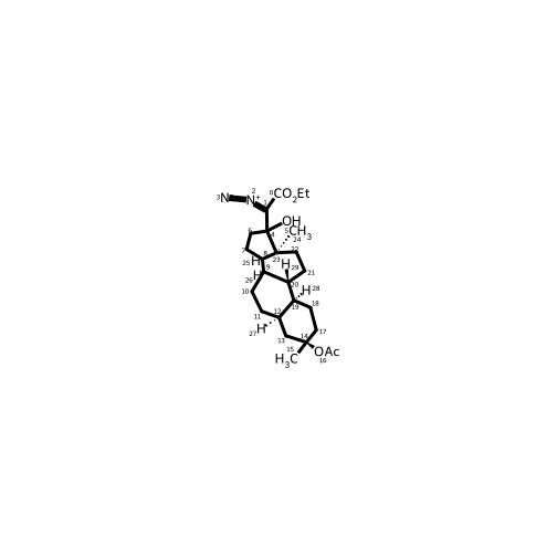 CCOC(=O)C(=[N+]=[N-])C1(O)CC[C@H]2[C@@H]3CC[C@@H]4C[C@](C)(OC(C)=O)CC[C@@H]4[C@H]3CC[C@@]21C